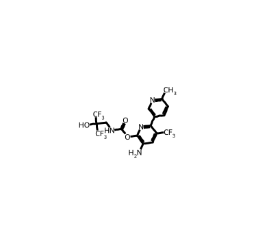 Cc1ccc(-c2nc(OC(=O)NCC(O)(C(F)(F)F)C(F)(F)F)c(N)cc2C(F)(F)F)cn1